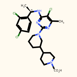 Cc1nc(N2CCCC(C3CCN(C(=O)O)CC3)C2)nc(N[C@H](C)c2ccc(Cl)cc2Cl)c1Cl